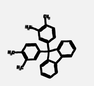 Cc1ccc(C2(c3ccc(C)c(N)c3)c3ccccc3-c3ccccc32)cc1C